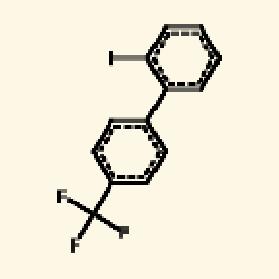 FC(F)(F)c1ccc(-c2ccccc2I)cc1